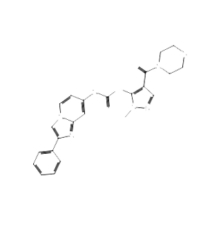 Cn1ncc(C(=O)N2CCNCC2)c1OC(=O)Nc1ccn2cc(-c3ccccc3)nc2c1